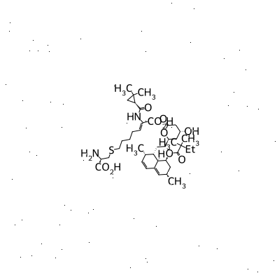 CC1(C)C[C@@H]1C(=O)N/C(=C\CCCCSC[C@H](N)C(=O)O)C(=O)O.CCC(C)(C)C(=O)O[C@H]1C[C@@H](C)C=C2C=C[C@H](C)[C@H](CC[C@@H]3C[C@@H](O)CC(=O)O3)[C@H]21